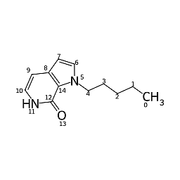 CCCCCn1ccc2cc[nH]c(=O)c21